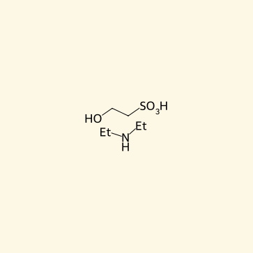 CCNCC.O=S(=O)(O)CCO